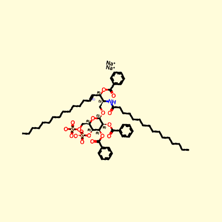 CCCCCCCCCCCCC/C=C/[C@@H](OC(=O)c1ccccc1)[C@H](CO[C@H]1O[C@H](COS(=O)(=O)[O-])[C@@H](OS(=O)(=O)[O-])[C@H](OC(=O)c2ccccc2)[C@H]1OC(=O)c1ccccc1)NC(=O)CCCCCCCCCCCCCCC.[Na+].[Na+]